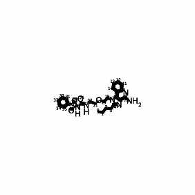 CCCCc1nc2c(N)nc3ccccc3c2n1CCOCCNC(=O)NS(=O)(=O)c1ccccc1